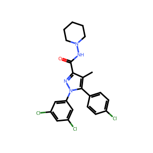 Cc1c(C(=O)NN2CCCCC2)nn(-c2cc(Cl)cc(Cl)c2)c1-c1ccc(Cl)cc1